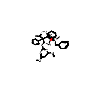 COc1cc(OC)nc(O[C@@H](NC(=O)N(C)Cc2ccccc2)C(C(=O)O)(c2ccccc2)c2ccccc2)n1